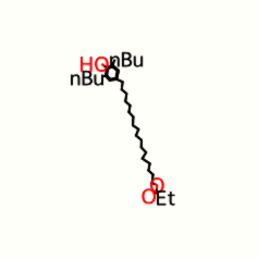 CCCCc1cc(CCCCCCCCCCCCCCCCCCOC(=O)CC)cc(CCCC)c1O